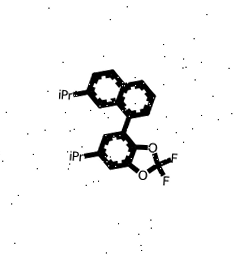 CC(C)c1cc2c(c(-c3cccc4ccc(C(C)C)cc34)c1)OC(F)(F)O2